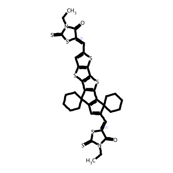 CCN1C(=O)/C(=C/C2=CC3=C(c4sc5c(sc6cc(/C=C7\SC(=S)N(CC)C7=O)sc65)c4C34CCCCC4)C23CCCCC3)SC1=S